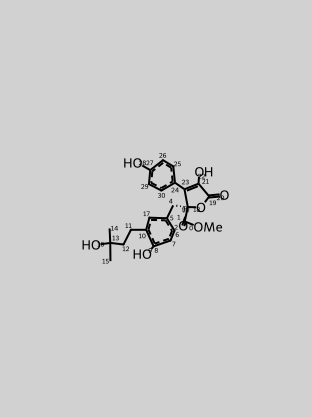 COC(=O)[C@]1(Cc2ccc(O)c(CCC(C)(C)O)c2)OC(=O)C(O)=C1c1ccc(O)cc1